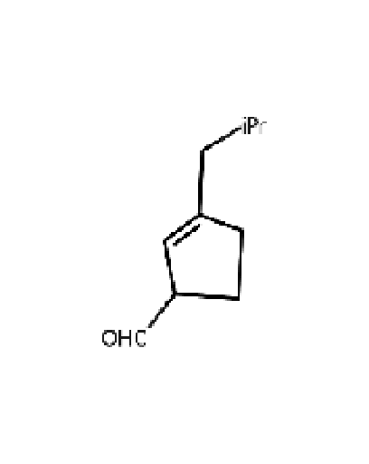 CC(C)CC1=CC(C=O)CC1